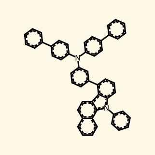 c1ccc(-c2ccc(N(c3ccc(-c4ccccc4)cc3)c3cccc(-c4cccc5c4c4ccc6ccccc6c4n5-c4ccccc4)c3)cc2)cc1